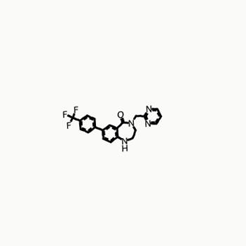 O=C1c2cc(-c3ccc(C(F)(F)F)cc3)ccc2NCCN1Cc1ncccn1